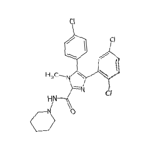 Cn1c(C(=O)NN2CCCCC2)nc(-c2cc(Cl)ccc2Cl)c1-c1ccc(Cl)cc1